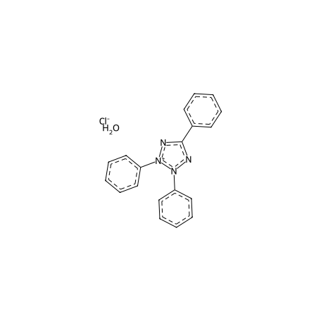 O.[Cl-].c1ccc(-c2nn(-c3ccccc3)[n+](-c3ccccc3)n2)cc1